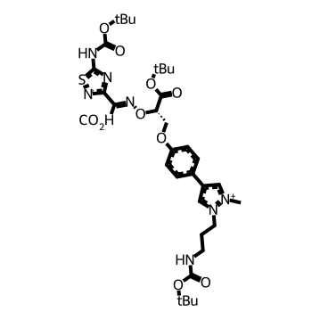 C[n+]1cc(-c2ccc(OC[C@H](O/N=C(\C(=O)O)c3nsc(NC(=O)OC(C)(C)C)n3)C(=O)OC(C)(C)C)cc2)cn1CCCNC(=O)OC(C)(C)C